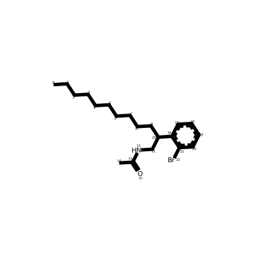 CCCCCCCCCCC(CNC(C)=O)c1ccccc1Br